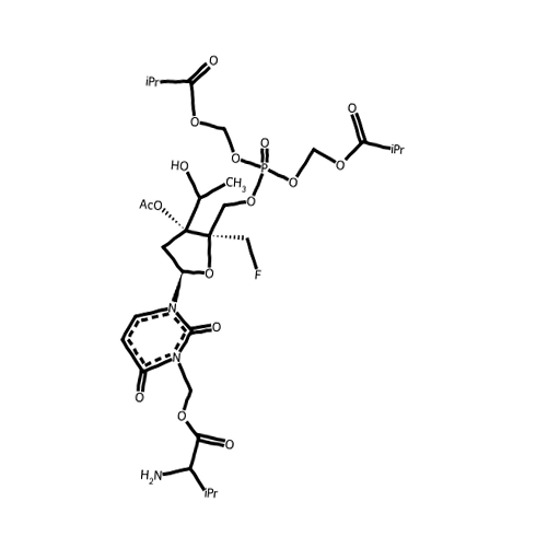 CC(=O)O[C@@]1(C(C)O)C[C@H](n2ccc(=O)n(COC(=O)C(N)C(C)C)c2=O)O[C@]1(CF)COP(=O)(OCOC(=O)C(C)C)OCOC(=O)C(C)C